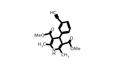 C#Cc1cccc(C2C(C(=O)OC)=C(C)NC(C)=C2C(=O)OC)c1